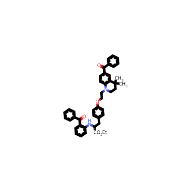 CCOC(=O)C(Cc1ccc(OCCN2CCC(C)(C)c3cc(C(=O)c4ccccc4)ccc32)cc1)Nc1ccccc1C(=O)c1ccccc1